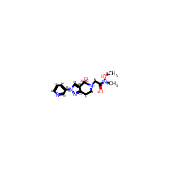 CON(C)C(=O)CN1CCc2nn(-c3cccnc3)cc2C1=O